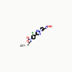 CC(=O)NC[C@H]1CN(c2ccc(-c3cnc(-n4ccc(/C=N/O)c4)nc3)c(F)c2)C(=O)O1